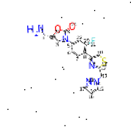 NC[C@H]1CN(c2ccc(-c3csc(Cn4cccn4)n3)c(F)c2)C(=O)O1